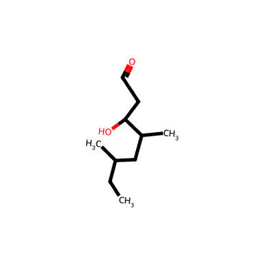 CCC(C)CC(C)C(O)CC=O